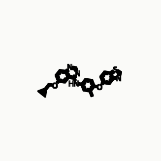 Cc1cc(Nc2ncnc3ccc(OCC4CC4)cc23)ccc1Oc1ccc2scnc2c1